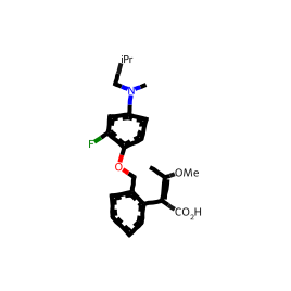 COC(C)=C(C(=O)O)c1ccccc1COc1ccc(N(C)CC(C)C)cc1F